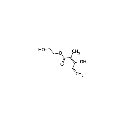 C=CC(O)=C(C)C(=O)OCCO